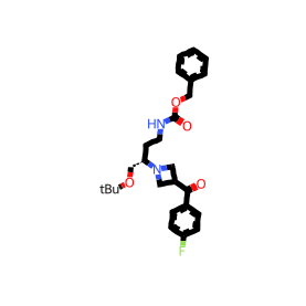 CC(C)(C)OC[C@H](CCNC(=O)OCc1ccccc1)N1CC(C(=O)c2ccc(F)cc2)C1